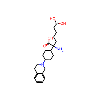 NC(CCCCB(O)O)(C(=O)O)C1CCC(N2CCc3ccccc3C2)CC1